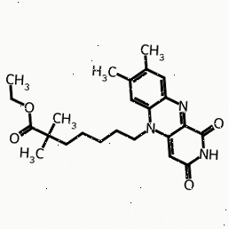 CCOC(=O)C(C)(C)CCCCCn1c2cc(=O)[nH]c(=O)c-2nc2cc(C)c(C)cc21